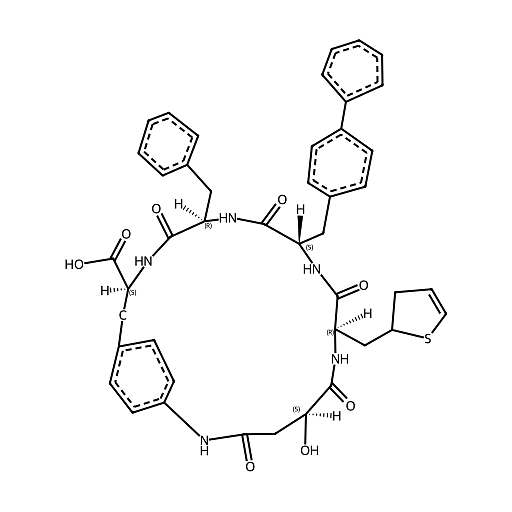 O=C1C[C@H](O)C(=O)N[C@H](CC2CC=CS2)C(=O)N[C@@H](Cc2ccc(-c3ccccc3)cc2)C(=O)N[C@H](Cc2ccccc2)C(=O)N[C@H](C(=O)O)Cc2ccc(cc2)N1